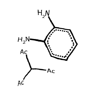 CC(=O)C(C(C)=O)C(C)=O.Nc1ccccc1N